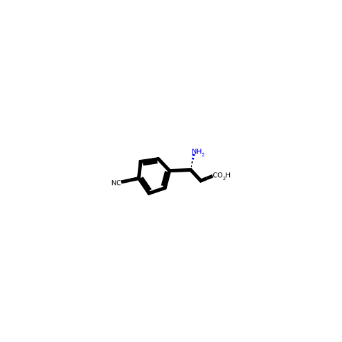 N#Cc1ccc([C@H](N)CC(=O)O)cc1